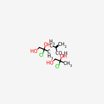 C=C(C)C(=O)O.CC(O)(Cl)CO.CC(O)(Cl)CO